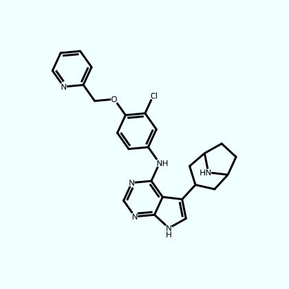 Clc1cc(Nc2ncnc3[nH]cc(C4CC5CCC(C4)N5)c23)ccc1OCc1ccccn1